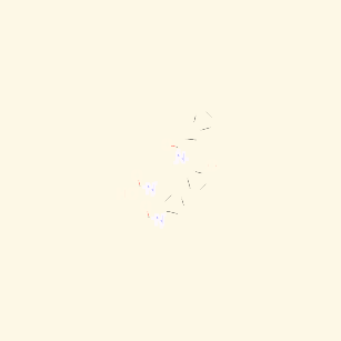 COc1ccc(-c2ccc(N(C)C(C)=O)cc2)cc1CN(C(=O)c1sc2ccccc2c1Cl)C1CCC(N(C)C(=O)O)CC1